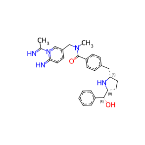 CC(=N)n1cc(CN(C)C(=O)c2ccc(C[C@@H]3CC[C@H]([C@H](O)c4ccccc4)N3)cc2)ccc1=N